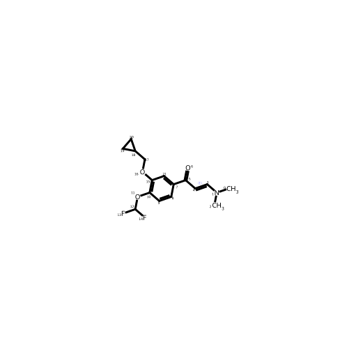 CN(C)/C=C/C(=O)c1ccc(OC(F)F)c(OCC2CC2)c1